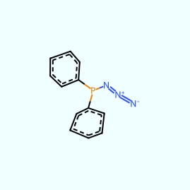 [N-]=[N+]=NP(c1ccccc1)c1ccccc1